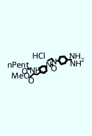 CCCCCC(=O)NC(Cc1ccc(N2CCN(c3ccc(C(=N)N)cc3)C2=O)cc1)C(=O)OC.Cl